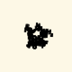 Nc1ncc(/C=C(\F)c2cc(C(=O)N[C@H]3CC4(CC4)C[C@@H]3O)ccc2OC(F)F)cn1.O=C(O)c1ccc(OC(F)F)c(C#Cc2cncnc2)c1